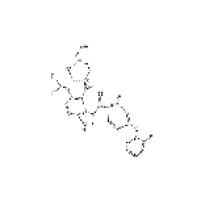 O=C(c1ccc(Oc2ccccc2F)cc1F)c1c[nH]c2ncc(OC(F)F)c(N[C@@H]3CC[C@@H](CO)OC3)c12